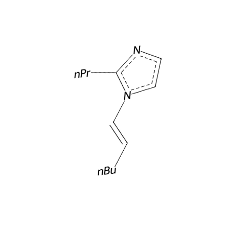 CCCCC=Cn1ccnc1CCC